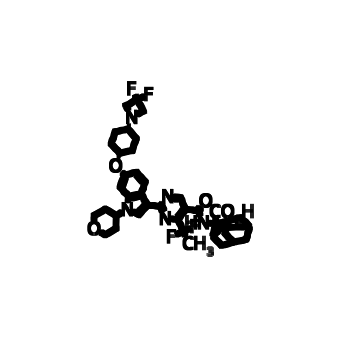 CC(F)(F)c1nc(-c2cn(C3CCOCC3)c3cc(O[C@H]4CC[C@@H](N5CC(F)(F)C5)CC4)ccc23)ncc1C(=O)NC1(C(=O)O)C2CC3CC(C2)CC1C3